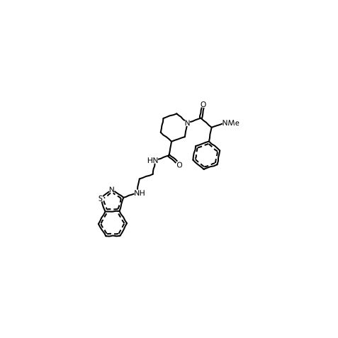 CNC(C(=O)N1CCCC(C(=O)NCCNc2nsc3ccccc23)C1)c1ccccc1